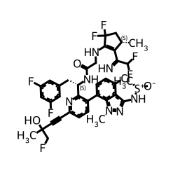 C[C@H]1CC(F)(F)C(NCC(=O)N[C@@H](Cc2cc(F)cc(F)c2)c2nc(C#CC(C)(O)CF)ccc2-c2ccc(Cl)c3c(N[S+](C)[O-])nn(C)c23)=C1C(=N)C(F)F